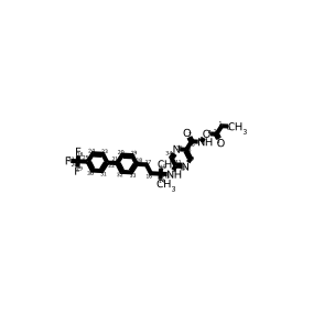 CCC(=O)ONC(=O)c1cnc(NC(C)(C)CCc2ccc(-c3ccc(C(F)(F)F)cc3)cc2)cn1